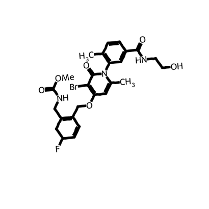 COC(=O)NCC1=C(COc2cc(C)n(-c3cc(C(=O)NCCO)ccc3C)c(=O)c2Br)C=CC(F)C1